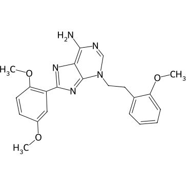 COc1ccc(OC)c(-c2nc3c(N)ncn(CCc4ccccc4OC)c-3n2)c1